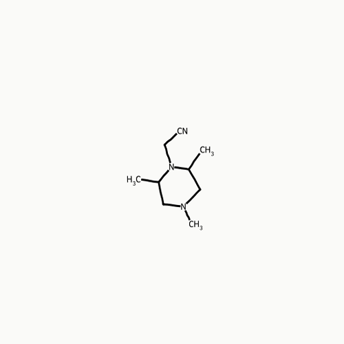 CC1CN(C)CC(C)N1CC#N